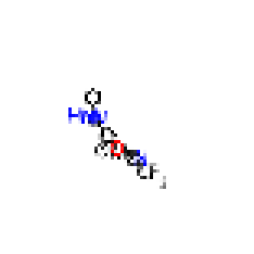 COc1cc(-c2c[nH]c(C3CCCCC3)n2)ccc1OCc1ccc(C(F)(F)F)nc1